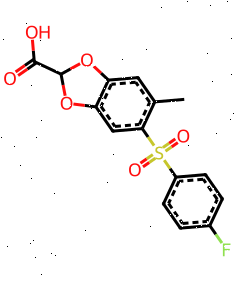 Cc1cc2c(cc1S(=O)(=O)c1ccc(F)cc1)OC(C(=O)O)O2